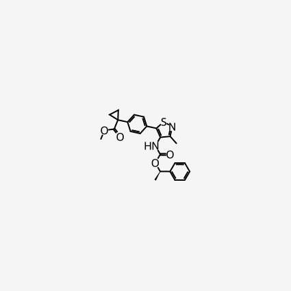 COC(=O)C1(c2ccc(-c3snc(C)c3NC(=O)O[C@H](C)c3ccccc3)cc2)CC1